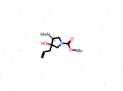 C=CCC1(O)CN(C(=O)OC(C)(C)C)C[C@@H]1NC